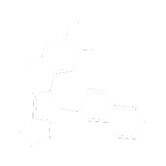 Cc1cc(F)c(-c2nc3n(c2-c2ccc4ncccc4c2)CCC3)cc1F